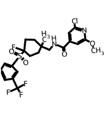 COc1cc(C(=O)NCC2(C)CCC(F)(S(=O)(=O)c3cccc(C(F)(F)F)c3)CC2)cc(Cl)n1